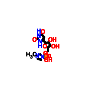 C[n+]1ccn(P(=O)(O)OCC2OC(c3cc(=O)[nH]c(=O)[nH]3)C(O)C2O)c1